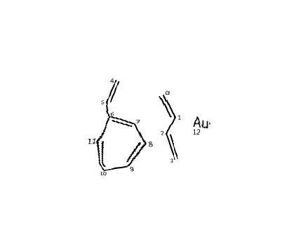 C=CC=C.C=Cc1ccccc1.[Au]